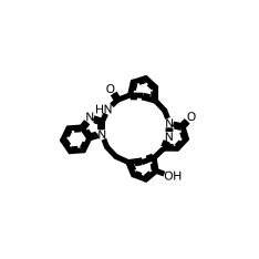 O=C1Nc2nc3ccccc3n2CCc2ccc(O)c(c2)-c2ccc(=O)n(n2)Cc2cccc1c2